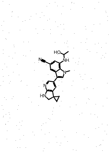 CC(O)Nc1cc(C#N)cc2c(-c3cnc4c(c3)C3(CC3)CN4)cn(C)c12